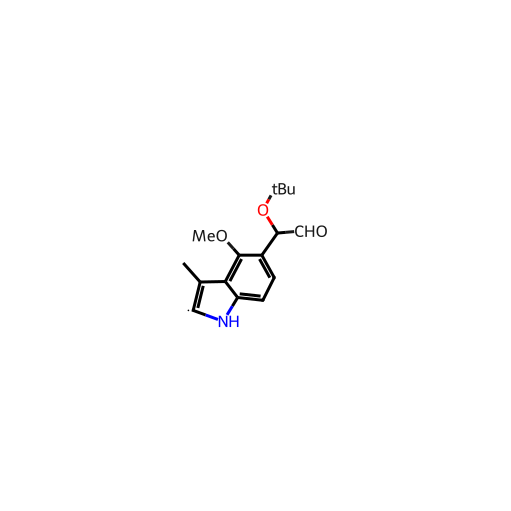 COc1c(C(C=O)OC(C)(C)C)ccc2[nH][c]c(C)c12